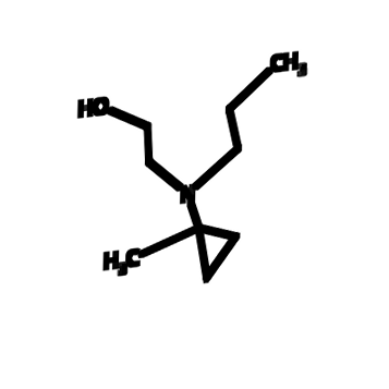 CCCN(CCO)C1(C)CC1